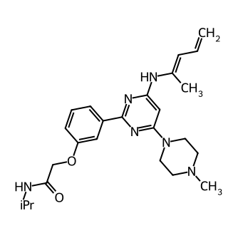 C=C/C=C(\C)Nc1cc(N2CCN(C)CC2)nc(-c2cccc(OCC(=O)NC(C)C)c2)n1